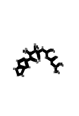 CC(OC(=O)CN(C)C)OC(=O)N(C)C(C)C(=O)c1ccc2c(c1)OCO2